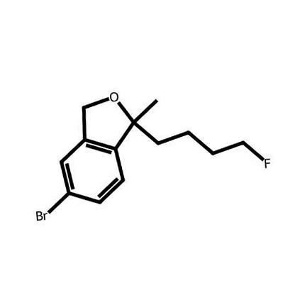 CC1(CCCCF)OCc2cc(Br)ccc21